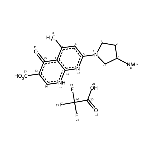 CNC1CCN(c2cc(C)c3c(=O)c(C(=O)O)c[nH]c3n2)C1.O=C(O)C(F)(F)F